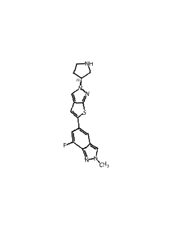 Cn1cc2cc(-c3cc4cn([C@H]5CCNC5)nc4s3)cc(F)c2n1